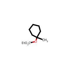 CCOC(=O)OC1(C)CCCCC1